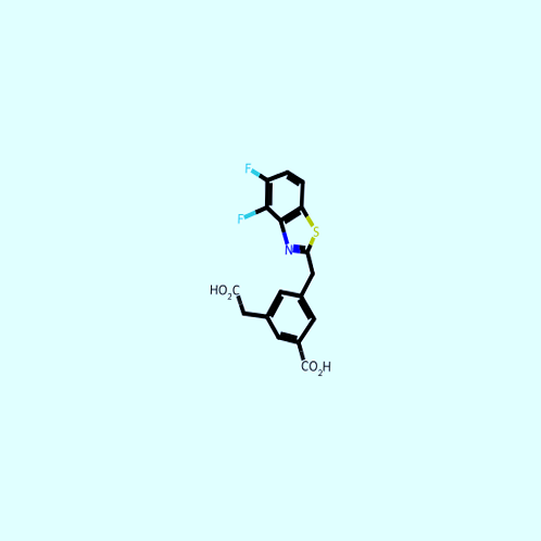 O=C(O)Cc1cc(Cc2nc3c(F)c(F)ccc3s2)cc(C(=O)O)c1